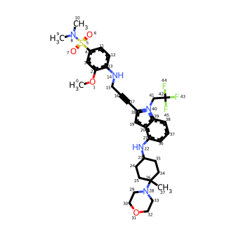 COc1cc(S(=O)(=O)N(C)C)ccc1NCC#Cc1cc2c(NC3CCC(C)(N4CCOCC4)CC3)cccc2n1CC(F)(F)F